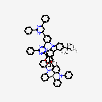 CC(C)(C)c1ccc2c(c1)c1cc(C(C)(C)C)ccc1n2-c1ccc(-c2cc(-c3ccccc3)nc(-c3ccccc3)n2)cc1-c1nc(-c2ccccc2)nc(-c2ccc(-c3ccc4c5c3N(c3ccccc3)c3ccccc3B5c3ccccc3N4c3ccccc3)cc2)n1